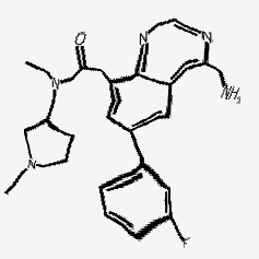 CN1CCC(N(C)C(=O)c2cc(-c3cccc(F)c3)cc3c(N)ncnc23)C1